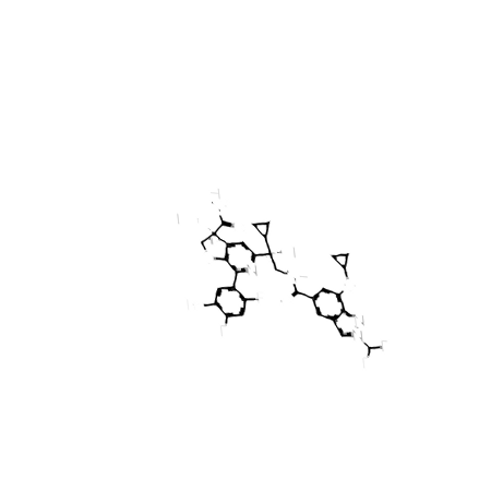 C[C@]1(C(N)=O)COc2c1cc([C@@](O)(CNC(=O)c1cc(OC3CC3)c3nn(C(F)F)cc3c1)C1CC1)nc2-c1cc(Br)c(F)cc1F